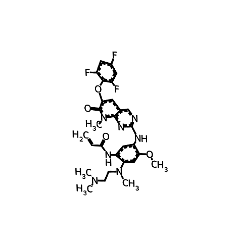 C=CC(=O)Nc1cc(Nc2ncc3cc(Oc4c(F)cc(F)cc4F)c(=O)n(C)c3n2)c(OC)cc1N(C)CCN(C)C